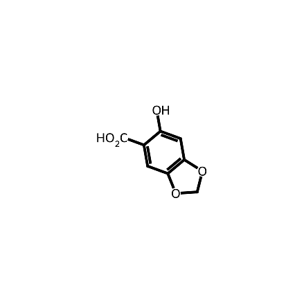 O=C(O)c1cc2c(cc1O)OCO2